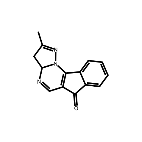 CC1=NN2C3=C(C=NC2C1)C(=O)c1ccccc13